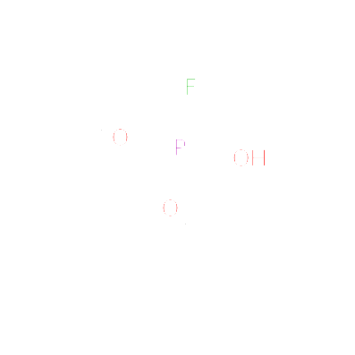 C=COP(=O)(O)F